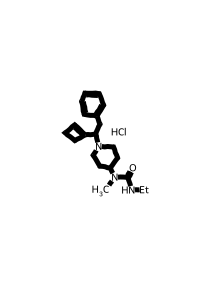 CCNC(=O)N(C)C1CCN(C(Cc2ccccc2)C2=CCC2)CC1.Cl